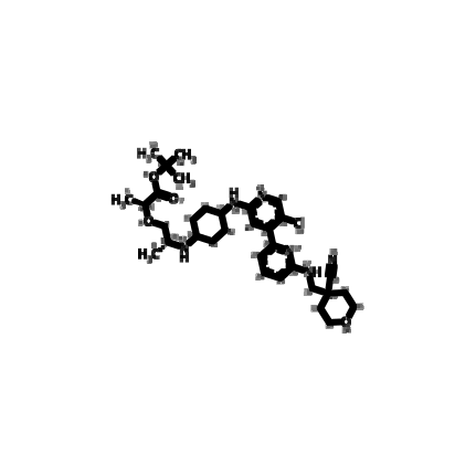 C[C@H](CO[C@@H](C)C(=O)OC(C)(C)C)NC1CCC(Nc2cc(-c3cccc(NCC4(C#N)CCOCC4)n3)c(Cl)cn2)CC1